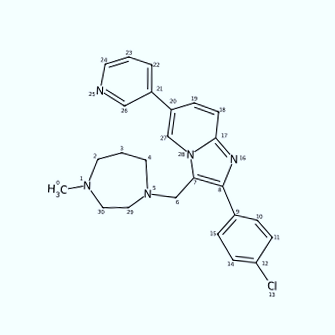 CN1CCCN(Cc2c(-c3ccc(Cl)cc3)nc3ccc(-c4cccnc4)cn23)CC1